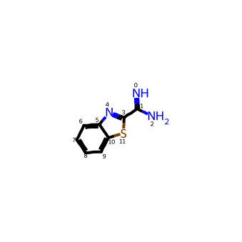 N=C(N)c1nc2ccccc2s1